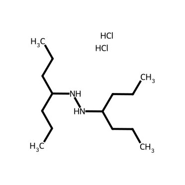 CCCC(CCC)NNC(CCC)CCC.Cl.Cl